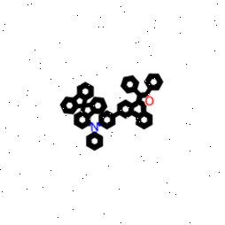 c1ccc(-c2oc3c4ccccc4c4cc(-c5ccc(N(c6ccccc6)c6cccc7c6-c6ccccc6C76c7ccccc7-c7ccccc76)cc5)ccc4c3c2-c2ccccc2)cc1